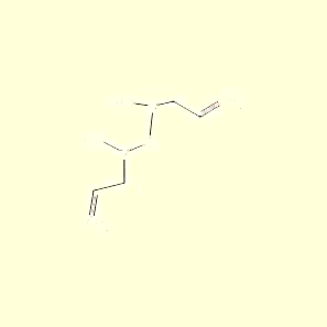 C=CCN(O)ON(O)CC=C